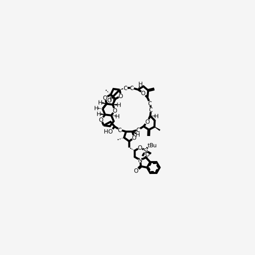 C=C1C[C@@H]2CC[C@@]34C[C@]5(C)O[C@H]6[C@@H](O3)[C@H]3OC(CC[C@@H]3O[C@H]6[C@H]5O4)CC(O)CC3[C@@H](C)C(C[C@@H](CN4C(=O)c5ccccc5C4=O)O[Si](C)(C)C(C)(C)C)O[C@H]3CC3O[C@@H](CCC1O2)C[C@@H](C)C3=C